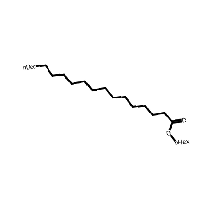 CCCCCCCCCCCCCCCCCCCCCCCC(=O)OCCCCCC